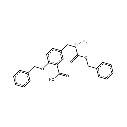 C[C@@H](Cc1ccc(OCc2ccccc2)c(C(=O)O)c1)C(=O)OCc1ccccc1